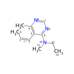 C/C=C\c1c(C)ncnc1N(C)CC